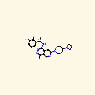 Cc1c([C@@H](C)Nc2nnc(C)c3cnc(N4CCC(N5CCC5)CC4)cc23)cccc1C(F)(F)F